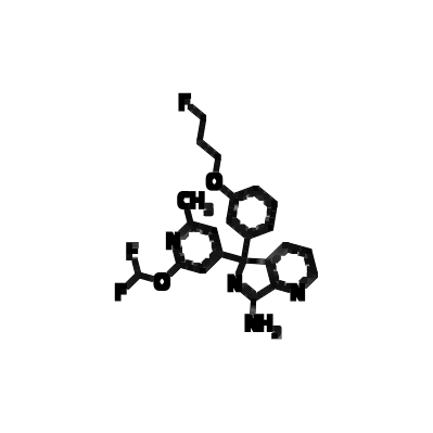 Cc1cc(C2(c3cccc(OCCCF)c3)N=C(N)c3ncccc32)cc(OC(F)F)n1